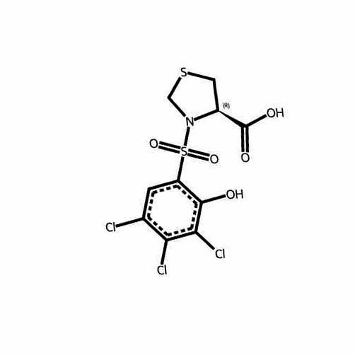 O=C(O)[C@@H]1CSCN1S(=O)(=O)c1cc(Cl)c(Cl)c(Cl)c1O